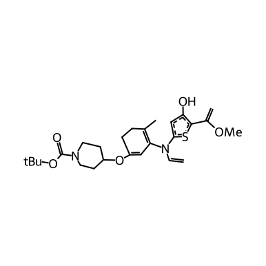 C=CN(C1=C(C)CCC(OC2CCN(C(=O)OC(C)(C)C)CC2)=C1)c1cc(O)c(C(=C)OC)s1